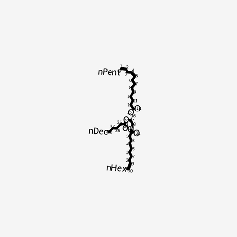 CCCCC/C=C\C/C=C\CCCCCCCC(=O)OC[C@H](COC(=O)CCCCCCC/C=C\CCCCCC)OC(=O)CCCCCCCCCCCCCC